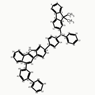 CC1(C)c2ccccc2-c2ccc(N(c3ccccc3)c3ccc(-c4ccc5c(c4)oc4c6ccccc6c(-c6cccc(-c7ccccc7)c6)cc54)cc3)cc21